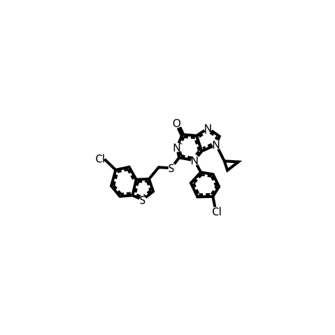 O=c1nc(SCc2csc3ccc(Cl)cc23)n(-c2ccc(Cl)cc2)c2c1ncn2C1CC1